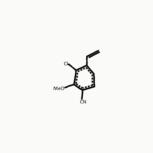 C=Cc1ccc(C#N)c(OC)c1Cl